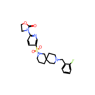 O=C1OCCN1c1ccc(S(=O)(=O)N2CCCC3(CCN(Cc4ccccc4F)CC3)C2)cn1